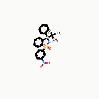 CC(C)(C)[Si](NS(=O)(=O)c1cccc([N+](=O)[O-])c1)(c1ccccc1)c1ccccc1